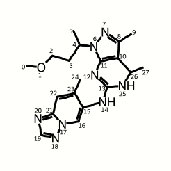 COCCC(C)n1nc(C)c2c1N=C(Nc1cn3ncnc3cc1C)NC2C